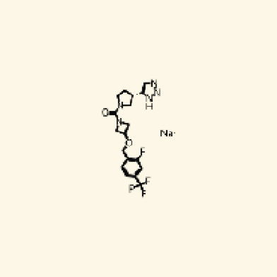 O=C(N1CC(OCc2ccc(C(F)(F)F)cc2F)C1)N1CC[C@H](c2cnn[nH]2)C1.[Na]